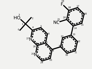 CC(C)(O)c1ccc2c(-c3cccc(-c4cccc(F)c4C#N)c3)ccnc2n1